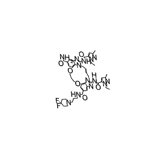 CCn1nc(C)cc1C(=O)Nc1nc2cc(C(N)=O)cc3c2n1C/C=C/Cn1c(NC(=O)c2cc(C)nn2CC)nc2cc(C(=O)NCCCN4CCC(F)(F)CC4)cc(c21)OCCCO3